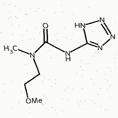 COCCN(C)C(=O)Nc1nnn[nH]1